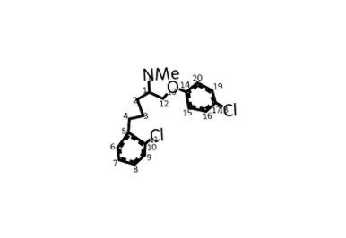 [CH2]NC(CCCc1ccccc1Cl)COc1ccc(Cl)cc1